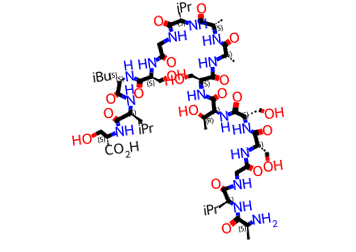 CC[C@H](C)[C@H](NC(=O)[C@H](CO)NC(=O)CNC(=O)[C@@H](NC(=O)[C@H](C)NC(=O)[C@H](C)NC(=O)[C@H](CO)NC(=O)[C@@H](NC(=O)[C@H](CO)NC(=O)[C@H](CO)NC(=O)CNC(=O)[C@@H](NC(=O)[C@H](C)N)C(C)C)[C@@H](C)O)C(C)C)C(=O)N[C@@H](CC(C)C)C(=O)N[C@@H](CO)C(=O)O